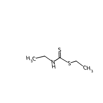 CCNC(=S)SCC